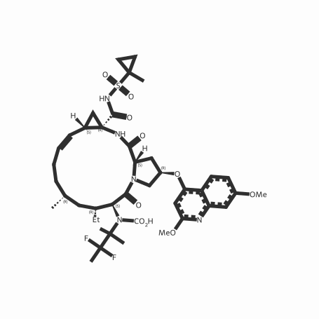 CC[C@@H]1C[C@H](C)CCC=C[C@@H]2C[C@@]2(C(=O)NS(=O)(=O)C2(C)CC2)NC(=O)[C@@H]2C[C@@H](Oc3cc(OC)nc4cc(OC)ccc34)CN2C(=O)[C@H]1N(C(=O)O)C(C)(C)C(C)(F)F